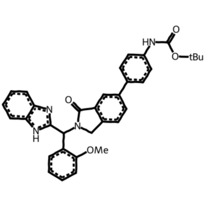 COc1ccccc1C(c1nc2ccccc2[nH]1)N1Cc2ccc(-c3ccc(NC(=O)OC(C)(C)C)cc3)cc2C1=O